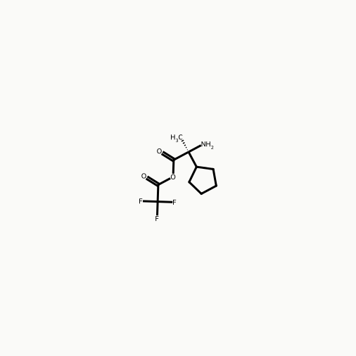 C[C@@](N)(C(=O)OC(=O)C(F)(F)F)C1CCCC1